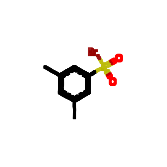 Cc1cc(C)cc(S(=O)(=O)Br)c1